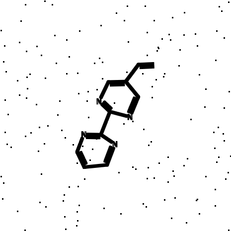 C=Cc1cnc(-c2ncccn2)nc1